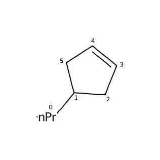 CC[CH]C1CC=CC1